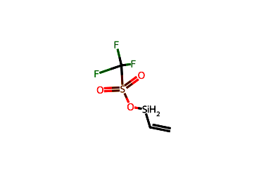 C=C[SiH2]OS(=O)(=O)C(F)(F)F